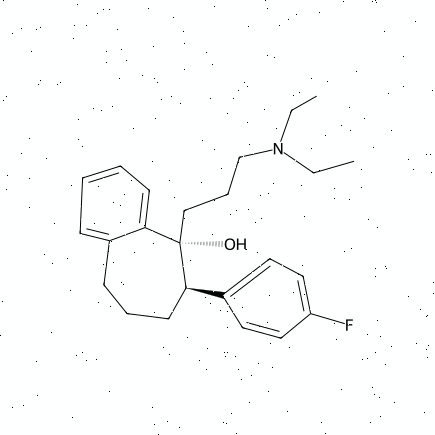 CCN(CC)CCC[C@]1(O)c2ccccc2CCC[C@@H]1c1ccc(F)cc1